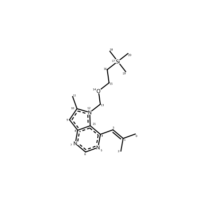 CC(C)=Cc1ncnc2cc(C)n(COCC[Si](C)(C)C)c12